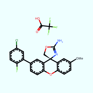 COc1ccc2c(c1)[C@]1(COC(N)=N1)c1cc(-c3cc(Cl)ccc3F)ccc1O2.O=C(O)C(F)(F)F